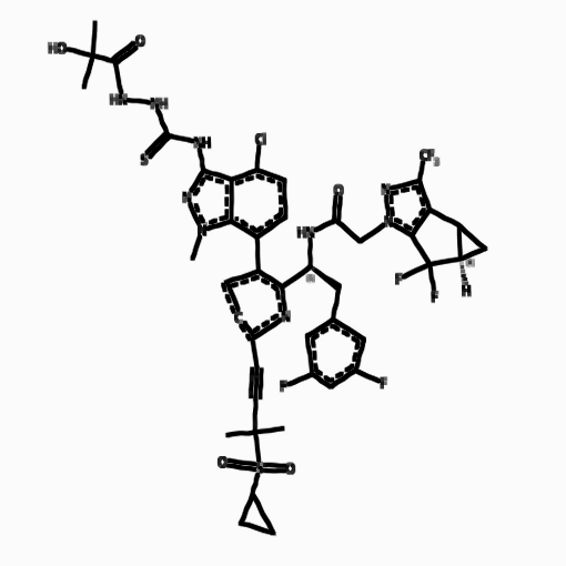 Cn1nc(NC(=S)NNC(=O)C(C)(C)O)c2c(Cl)ccc(-c3ccc(C#CC(C)(C)S(=O)(=O)C4CC4)nc3[C@H](Cc3cc(F)cc(F)c3)NC(=O)Cn3nc(C(F)(F)F)c4c3C(F)(F)[C@@H]3CC43)c21